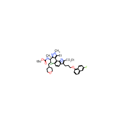 CCOC(=O)c1[nH]c2c(-c3c(C(CCC4CCOCC4)N(C)C(=O)OC(C)(C)C)nn(C)c3CC)c(Cl)ccc2c1CCCOc1cccc2cc(F)ccc12